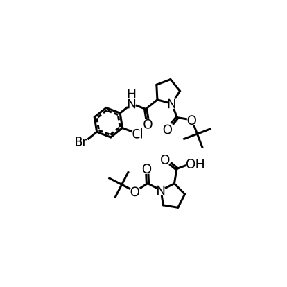 CC(C)(C)OC(=O)N1CCCC1C(=O)Nc1ccc(Br)cc1Cl.CC(C)(C)OC(=O)N1CCCC1C(=O)O